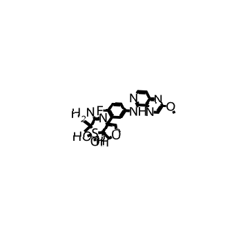 COc1cnc2c(Nc3ccc(F)c(C45COC[C@@H]4S(O)(O)C(C)(C)C(N)=N5)c3)nccc2n1